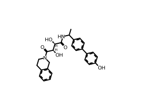 CC(NC(=O)[C@H](O)[C@@H](O)C(=O)N1CCc2ccccc2C1)c1ccc(-c2ccc(O)cc2)cc1